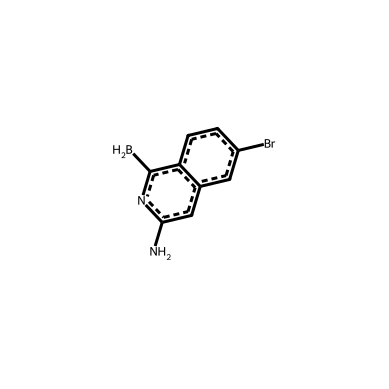 Bc1nc(N)cc2cc(Br)ccc12